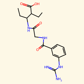 CCC(NC(=O)CNC(=O)c1cccc(NC(=N)N)c1)C(CC)C(=O)O